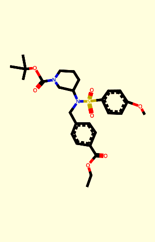 CCOC(=O)c1ccc(CN(C2CCCN(C(=O)OC(C)(C)C)C2)S(=O)(=O)c2ccc(OC)cc2)cc1